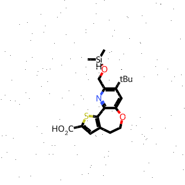 C[SiH](C)OCc1nc2c(cc1C(C)(C)C)OCCc1cc(C(=O)O)sc1-2